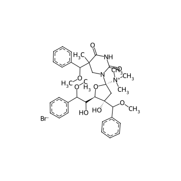 COC(c1ccccc1)C(O)[C@H]1O[C@](N2CC(C)(C(OC)c3ccccc3)C(=O)NC2=O)([N+](C)(C)C)C[C@@]1(O)C(OC)c1ccccc1.[Br-]